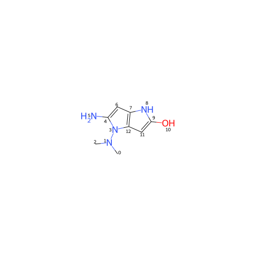 CN(C)n1c(N)cc2[nH]c(O)cc21